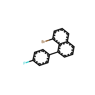 Fc1ccc(-c2cccc3cccc(Br)c23)cc1